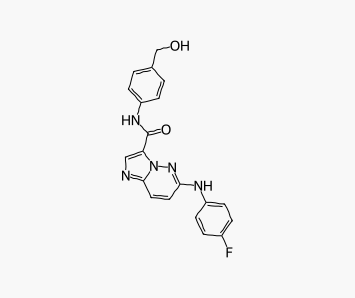 O=C(Nc1ccc(CO)cc1)c1cnc2ccc(Nc3ccc(F)cc3)nn12